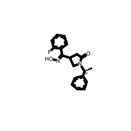 C[C@@H](c1ccccc1)N1CC(C(=NO)c2ccccc2F)CC1=O